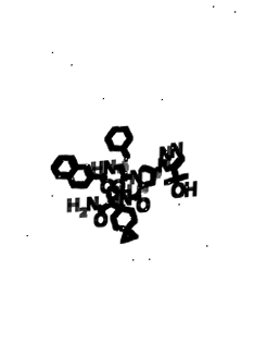 CC(C)(O)c1cnnn1[C@H]1C[C@@H](C(=O)NC2(C(O)C(N)=O)CCC3(CC3)CC2)N(C(=O)[C@@H](CC2CCCCC2)NC(=O)c2ccc3ccccc3c2)C1